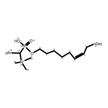 CCCCCCCCCCC/C=C\CCCCCOP(=O)(O)C(CCC)[N+](C)(C)C